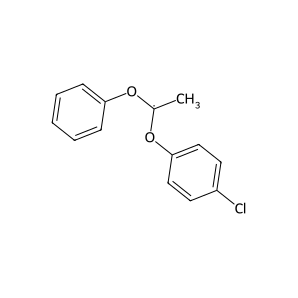 C[C](Oc1ccccc1)Oc1ccc(Cl)cc1